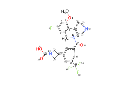 COc1cc(F)ccc1-c1ccncc1N(C)C(=O)c1cc(C2CN(C(=O)O)C2)cc(C(F)(F)F)c1